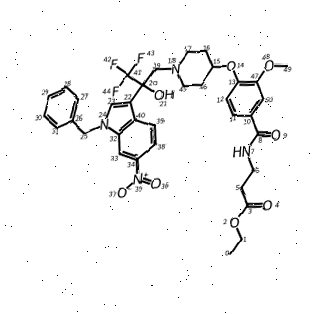 CCOC(=O)CCNC(=O)c1ccc(OC2CCN(CC(O)(c3cn(Cc4ccccc4)c4cc([N+](=O)[O-])ccc34)C(F)(F)F)CC2)c(OC)c1